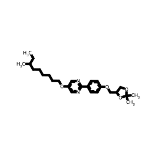 CCC(C)CCCCCCOc1cnc(-c2ccc(OCC3COC(C)(C)O3)cc2)nc1